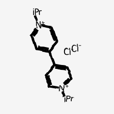 CC(C)[n+]1ccc(-c2cc[n+](C(C)C)cc2)cc1.[Cl-].[Cl-]